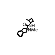 CNC1(C(=O)NC2CCC2C)Cc2ccccc2C1